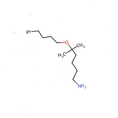 CC(C)CCCCOC(C)(C)CCCCN